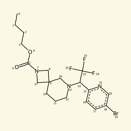 CCCCOC(=O)N1CC2(CCCN(C(c3ccc(Br)cn3)C(F)(F)F)C2)C1